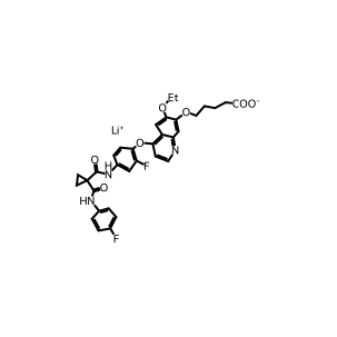 CCOc1cc2c(Oc3ccc(NC(=O)C4(C(=O)Nc5ccc(F)cc5)CC4)cc3F)ccnc2cc1OCCCCC(=O)[O-].[Li+]